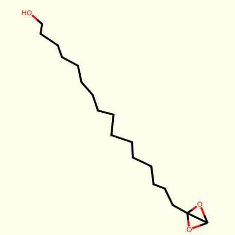 OCCCCCCCCCCCCCCCCC12OC1O2